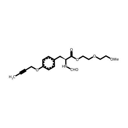 CC#CCOc1ccc(C[C@H](NC=O)C(=O)OCCOCCOC)cc1